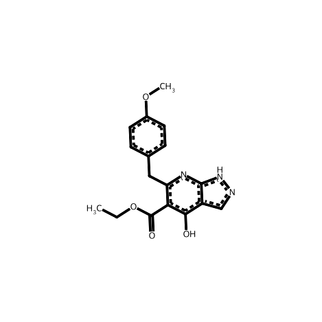 CCOC(=O)c1c(Cc2ccc(OC)cc2)nc2[nH]ncc2c1O